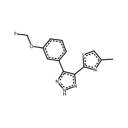 Cc1csc(-c2n[nH]nc2-c2cccc(OCF)c2)n1